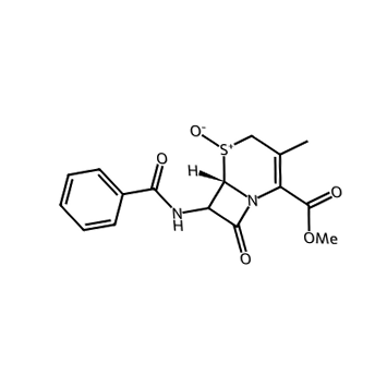 COC(=O)C1=C(C)C[S+]([O-])[C@H]2C(NC(=O)c3ccccc3)C(=O)N12